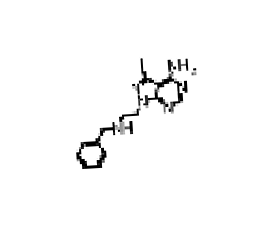 Nc1ncnc2c1c(I)nn2CCNCc1ccccc1